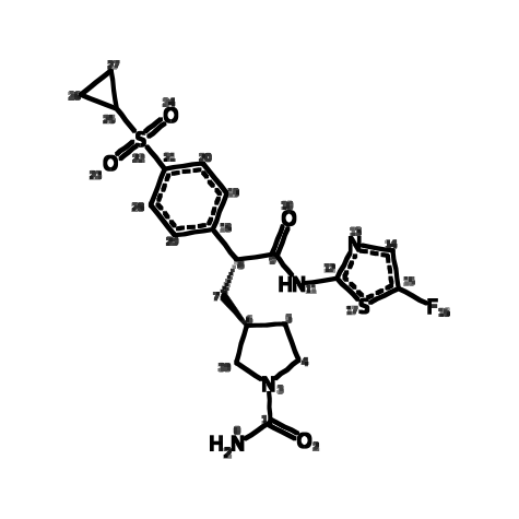 NC(=O)N1CC[C@H](C[C@@H](C(=O)Nc2ncc(F)s2)c2ccc(S(=O)(=O)C3CC3)cc2)C1